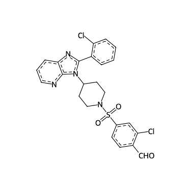 O=Cc1ccc(S(=O)(=O)N2CCC(n3c(-c4ccccc4Cl)nc4cccnc43)CC2)cc1Cl